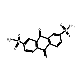 NS(=O)(=O)c1ccc2c(c1)C(=O)c1cc(S(N)(=O)=O)ccc1C2=O